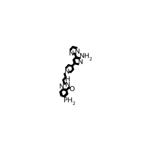 Nc1ncc(C2CCN(CCCc3nc4ccc(P)cc4c(=O)[nH]3)CC2)cc1-c1ncccn1